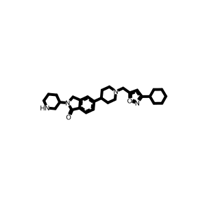 O=C1c2ccc(C3CCN(Cc4cc(C5CCCCC5)no4)CC3)cc2CN1C1CCCNC1